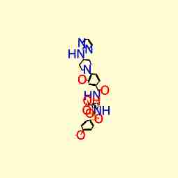 COc1ccc(S(=O)(=O)N[C@@H](CNC(=O)c2ccc(N3CCC(Nc4ncccn4)CC3)c(OC)c2)C(=O)O)cc1